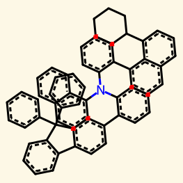 c1ccc(C2(c3ccccc3)c3ccccc3-c3ccc(-c4ccccc4N(c4ccccc4-c4cccc5cccc(C6CCCCC6)c45)c4cccc5ccccc45)cc32)cc1